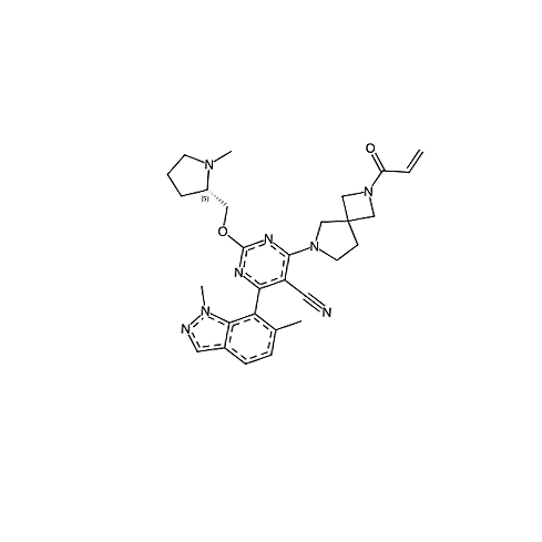 C=CC(=O)N1CC2(CCN(c3nc(OC[C@@H]4CCCN4C)nc(-c4c(C)ccc5cnn(C)c45)c3C#N)C2)C1